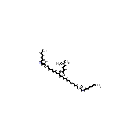 CCCCCC/C=C\C(=O)OCCCCCCCCC(CCCCCCCCOC(=O)/C=C\CCCCCC)OC(=O)CCCN(C)C